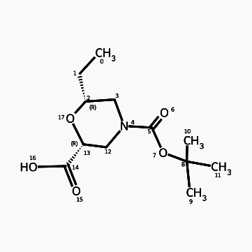 CC[C@@H]1CN(C(=O)OC(C)(C)C)C[C@H](C(=O)O)O1